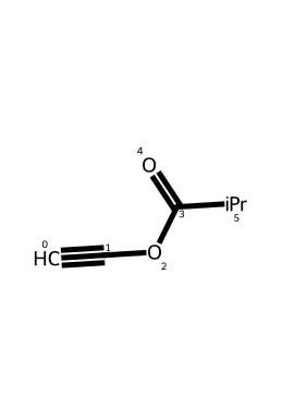 C#COC(=O)C(C)C